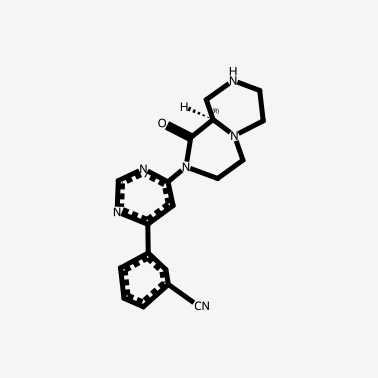 N#Cc1cccc(-c2cc(N3CCN4CCNC[C@@H]4C3=O)ncn2)c1